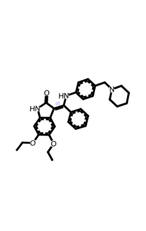 CCOc1cc2c(cc1OCC)/C(=C(/Nc1ccc(CN3CCCCC3)cc1)c1ccccc1)C(=O)N2